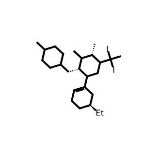 CC[C@H]1CCC=C(C2CC(C(C)(I)I)[C@@H](C)C(C)[C@H]2CC2CCC(C)CC2)C1